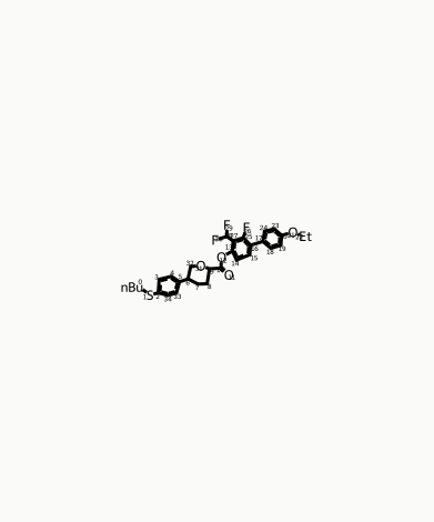 CCCCSc1ccc(C2CCC(C(=O)Oc3ccc(-c4ccc(OCC)cc4)c(F)c3C(F)F)OC2)cc1